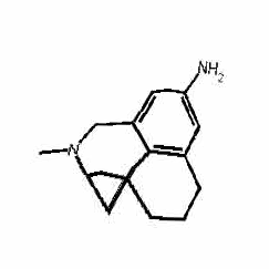 CN1Cc2cc(N)cc3c2C2(CCC3)CC12